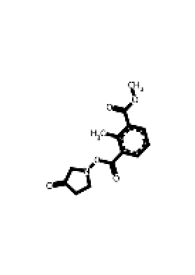 COC(=O)c1cccc(C(=O)ON2CCC(=O)C2)c1C